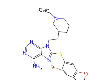 Nc1ncnc2c1nc(Sc1cc3c(cc1Br)OCO3)n2CCC1CCCN(C=O)C1